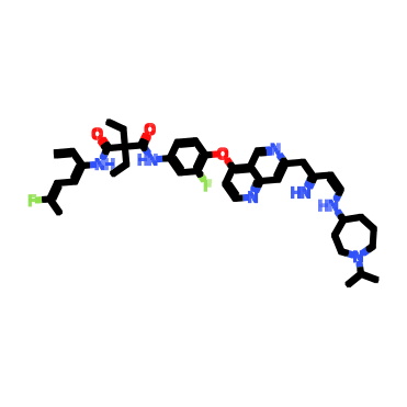 C=C/C(=C\C=C(/C)F)NC(=O)C(CC)(CC)C(=O)Nc1ccc(Oc2ccnc3cc(CC(=N)/C=C\NC4CCCN(C(C)C)CC4)ncc23)c(F)c1